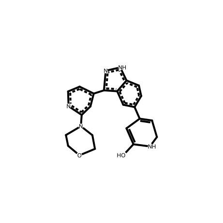 OC1=CC(c2ccc3[nH]nc(-c4ccnc(N5CCOCC5)c4)c3c2)=CCN1